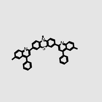 Cc1ccc2nc(-c3ccc4c(c3)Sc3cc(-c5cc(-c6ccccc6)c6cc(C)ccc6n5)ccc3N4C)cc(-c3ccccc3)c2c1